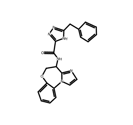 O=C(NC1COc2ccccc2-n2ccnc21)c1nnc(Cc2ccccc2)[nH]1